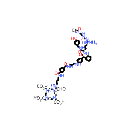 CCC(=O)NCCNC(=O)/N=C(/N)NCCC[C@@H](NC(=O)[C@@H](c1ccccc1)c1ccc(NCCCNC(=O)c2ccc(C(=O)NCCCCNC(C=O)N3CCN(CC(=O)O)CCN(CC(=O)O)CCN(CC(=O)O)CC3)cc2)cc1)C(=O)NCc1ccc(O)cc1